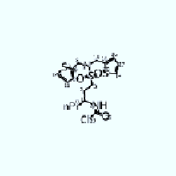 CCCC(CCS(=O)(=O)N(Cc1cccs1)Cc1cccs1)NC(=O)Cl